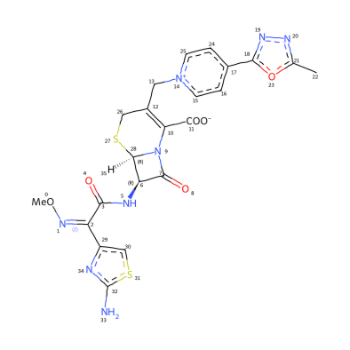 CO/N=C(\C(=O)N[C@@H]1C(=O)N2C(C(=O)[O-])=C(C[n+]3ccc(-c4nnc(C)o4)cc3)CS[C@H]12)c1csc(N)n1